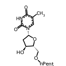 CCCCCOC[C@H]1O[C@@H](n2cc(C)c(=O)[nH]c2=O)C[C@@H]1O